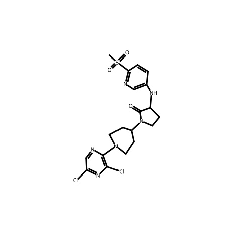 CS(=O)(=O)c1ccc(NC2CCN(C3CCN(c4ncc(Cl)nc4Cl)CC3)C2=O)cn1